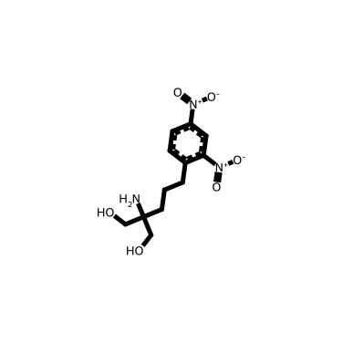 NC(CO)(CO)CCCc1ccc([N+](=O)[O-])cc1[N+](=O)[O-]